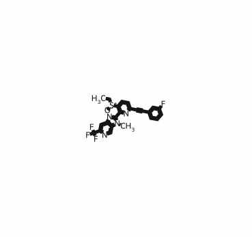 CC[S+]([O-])c1ccc(C#Cc2cccc(F)c2)nc1-c1nc2cc(C(F)(F)F)ncc2n1C